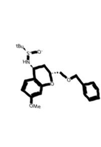 COc1ccc2c(c1)O[C@@H](COCc1ccccc1)C[C@H]2N[S@@+]([O-])C(C)(C)C